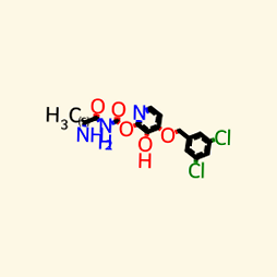 C[C@H](N)C(=O)NC(=O)Oc1nccc(OCc2cc(Cl)cc(Cl)c2)c1O